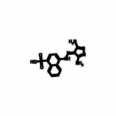 NC1=NN=C(N)C1=NNc1ccc(S(=O)(=O)O)c2ccccc12